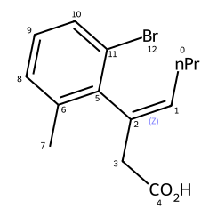 CCC/C=C(/CC(=O)O)c1c(C)cccc1Br